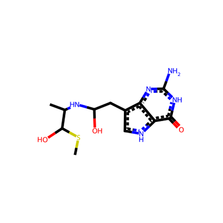 CSC(O)C(C)NC(O)Cc1c[nH]c2c(=O)[nH]c(N)nc12